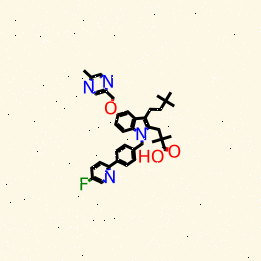 Cc1cnc(COc2ccc3c(c2)c(CCC(C)(C)C)c(CC(C)(C)C(=O)O)n3Cc2ccc(-c3ccc(F)cn3)cc2)cn1